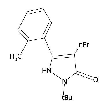 CCCc1c(-c2ccccc2C)[nH]n(C(C)(C)C)c1=O